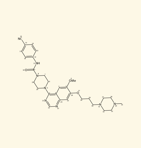 COc1cc2c(N3CCN(C(=O)Nc4ccc(C#N)cc4)CC3)ncnc2cc1OCCCN1CCN(C)CC1